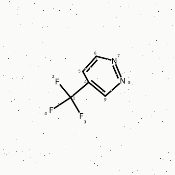 FC(F)(F)c1c[c]nnc1